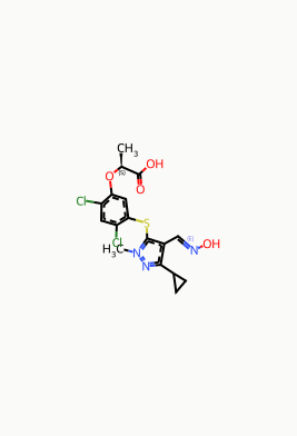 C[C@H](Oc1cc(Sc2c(/C=N/O)c(C3CC3)nn2C)c(Cl)cc1Cl)C(=O)O